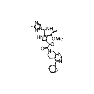 C=C/C(OC)=c1/c(C(=O)C(=O)N2CCc3c(ncnc3-c3ccccn3)C2)c[nH]/c1=C(/N)n1cnc(C)n1